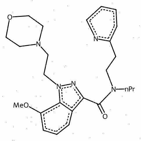 CCCN(CCc1ccccn1)C(=O)c1nn(CCN2CCOCC2)c2c(OC)cccc12